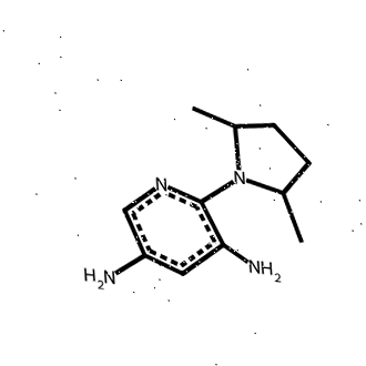 CC1CCC(C)N1c1ncc(N)cc1N